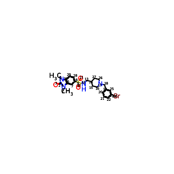 Cn1c(=O)n(C)c2cc(S(=O)(=O)NCC3CCN(Cc4cccc(Br)c4)CC3)ccc21